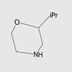 [CH2]C(C)C1CNCCO1